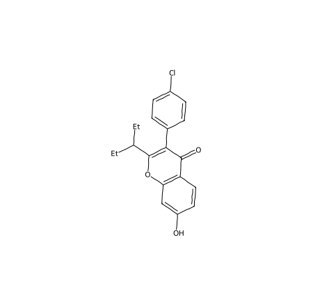 CCC(CC)c1oc2cc(O)ccc2c(=O)c1-c1ccc(Cl)cc1